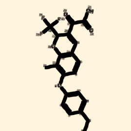 CCc1ccc(Oc2ccc3c(c2C)OC(C(F)(F)F)C(C(=O)C(=O)O)=C3)cc1